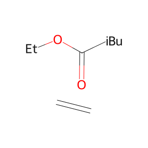 C=C.CCOC(=O)C(C)CC